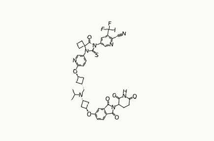 CC(C)N(C[C@H]1C[C@H](Oc2ccc(N3C(=S)N(c4cnc(C#N)c(C(F)(F)I)c4)C(=O)C34CCC4)cn2)C1)[C@H]1C[C@H](Oc2ccc3c(c2)C(=O)N(C2CCC(=O)NC2=O)C3=O)C1